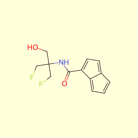 O=C(NC(CO)(CF)CF)C1=CC=C2C=CC=C21